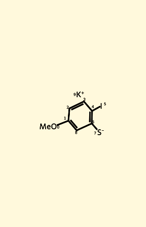 COc1ccc(I)c([S-])c1.[K+]